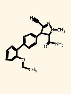 CCOc1ccccc1-c1ccc(C2C(C#N)=NN(C)C2C(N)=O)cc1